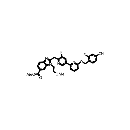 COCCn1c(Cc2ncc(-c3cccc(OCc4ccc(C#N)cc4F)n3)cc2F)nc2ccc(C(=O)OC)cc21